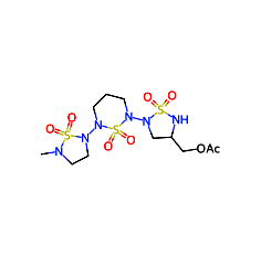 CC(=O)OCC1CN(N2CCCN(N3CCN(C)S3(=O)=O)S2(=O)=O)S(=O)(=O)N1